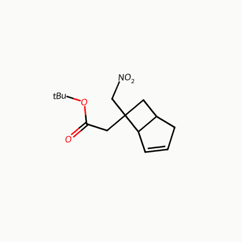 CC(C)(C)OC(=O)CC1(C[N+](=O)[O-])CC2CC=CC21